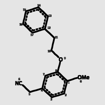 COc1ccc(CC#N)cc1OCCc1ccccc1